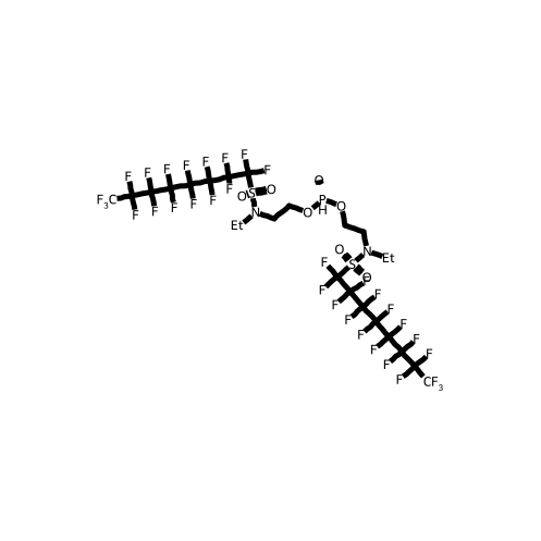 CCN(CCO[PH](=O)OCCN(CC)S(=O)(=O)C(F)(F)C(F)(F)C(F)(F)C(F)(F)C(F)(F)C(F)(F)C(F)(F)C(F)(F)F)S(=O)(=O)C(F)(F)C(F)(F)C(F)(F)C(F)(F)C(F)(F)C(F)(F)C(F)(F)C(F)(F)F